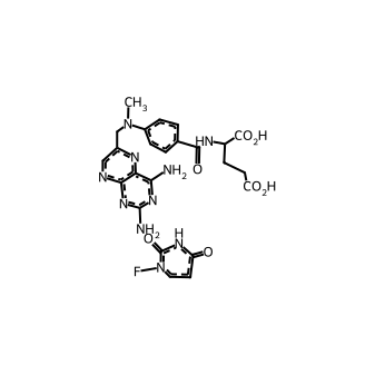 CN(Cc1cnc2nc(N)nc(N)c2n1)c1ccc(C(=O)NC(CCC(=O)O)C(=O)O)cc1.O=c1ccn(F)c(=O)[nH]1